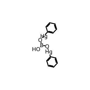 OB([O][Hg][c]1ccccc1)[O][Hg][c]1ccccc1